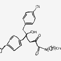 CN(O)C(=O)C(=O)CC(O)(Cc1ccc(C#N)cc1)c1ccc(O)cc1